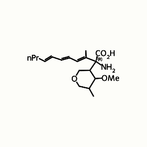 CCCC=CC=CC=C(C)[C@@](N)(C(=O)O)C1COCC(C)C1OC